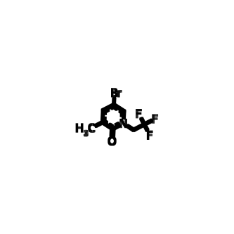 Cc1cc(Br)cn(CC(F)(F)F)c1=O